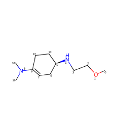 COCCN[C@H]1CC=C(N(C)C)CC1